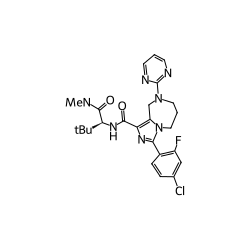 CNC(=O)[C@@H](NC(=O)c1nc(-c2ccc(Cl)cc2F)n2c1CN(c1ncccn1)CCC2)C(C)(C)C